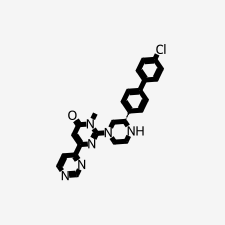 Cn1c(N2CCN[C@@H](c3ccc(-c4ccc(Cl)cc4)cc3)C2)nc(-c2ccncn2)cc1=O